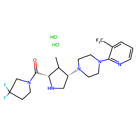 CC1[C@@H](C(=O)N2CCC(F)(F)C2)NC[C@H]1N1CCN(c2ncccc2C(F)(F)F)CC1.Cl.Cl